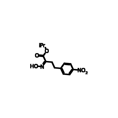 CC(C)OC(=O)C(CCc1ccc([N+](=O)[O-])cc1)=NO